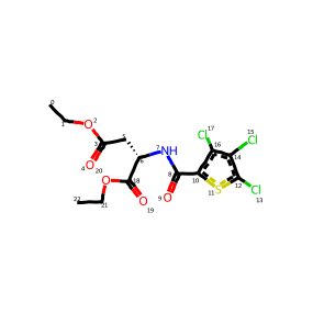 CCOC(=O)C[C@H](NC(=O)c1sc(Cl)c(Cl)c1Cl)C(=O)OCC